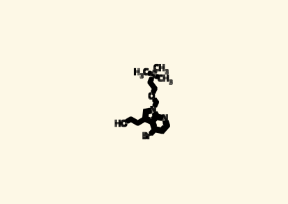 C[Si](C)(C)CCOCn1cc(CCO)c2c(Br)ccnc21